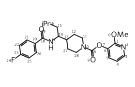 COc1ncccc1OC(=O)N1CCC(C(CC(C)C)NC(=O)c2ccc(F)cc2)CC1